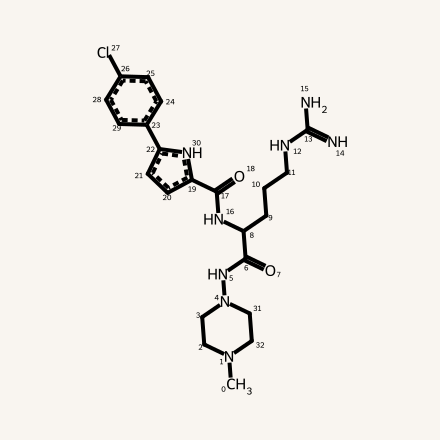 CN1CCN(NC(=O)C(CCCNC(=N)N)NC(=O)c2ccc(-c3ccc(Cl)cc3)[nH]2)CC1